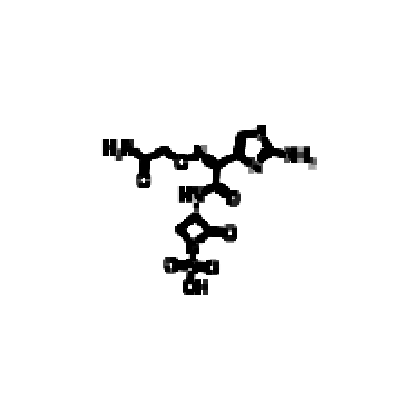 NC(=O)CO/N=C(\C(=O)N[C@H]1CN(S(=O)(=O)O)C1=O)c1csc(N)n1